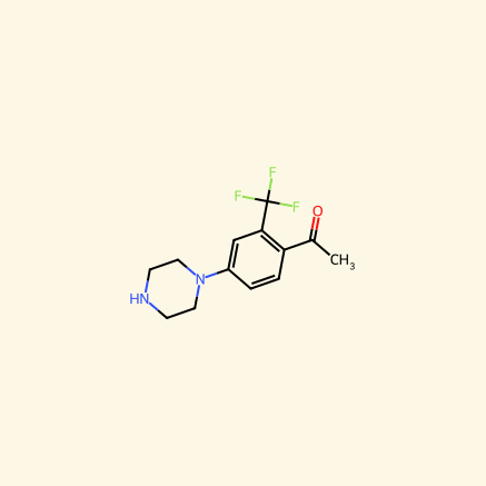 CC(=O)c1ccc(N2CCNCC2)cc1C(F)(F)F